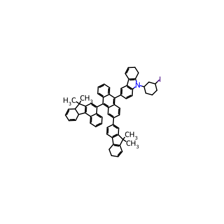 CC1(C)C2=C(CCC=C2)c2ccc(-c3ccc4c(-c5ccc6c(c5)c5c(n6C6CCCC(I)C6)CCC=C5)c5ccccc5c(-c5cc6c(c7ccccc57)C5C=CC=CC5C6(C)C)c4c3)cc21